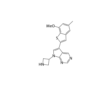 COc1cc(C)cc2cc(-c3cn(C4CNC4)c4ncncc34)sc12